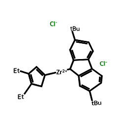 CCC1=C(CC)C[C]([Zr+2][CH]2c3cc(C(C)(C)C)ccc3-c3ccc(C(C)(C)C)cc32)=C1.[Cl-].[Cl-]